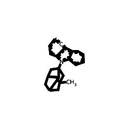 CC12CC3CC(C1)CC(n1c4ccccc4c4ccccc41)(C3)C2